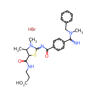 Br.CC1C(C(=O)NCCC(=O)O)SC(=NC(=O)c2ccc(C(=N)N(C)Cc3ccccc3)cc2)N1C